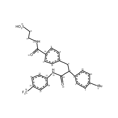 CC(C)(C)c1ccc(C(Cc2ccc(C(=O)NCCS(=O)(=O)O)cc2)C(=O)Nc2ccc(C(F)(F)F)cc2)cc1